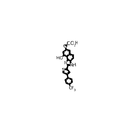 O=C(O)Oc1cc(O)c2c(ccc3[nH]c(-c4cc(-c5ccc(C(F)(F)F)cc5)cs4)nc32)c1